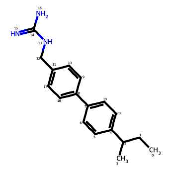 CCC(C)c1ccc(-c2ccc(CNC(=N)N)cc2)cc1